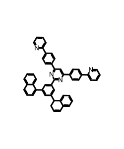 C1=Cc2ccccc2C(c2cc(-c3nc(-c4ccc(-c5ccccn5)cc4)cc(-c4ccc(-c5ccccn5)cc4)n3)cc(-c3cccc4ccccc34)c2)C1